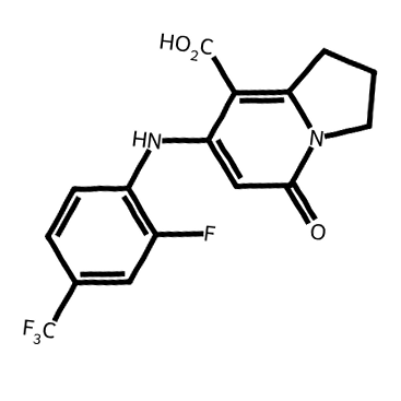 O=C(O)c1c(Nc2ccc(C(F)(F)F)cc2F)cc(=O)n2c1CCC2